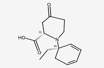 CC[C@]1(N2CCC(=O)C[C@H]2C(=O)O)C=CC=CC1